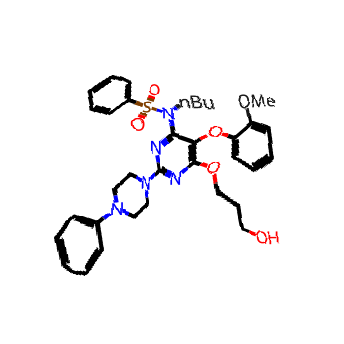 CCCCN(c1nc(N2CCN(c3ccccc3)CC2)nc(OCCCO)c1Oc1ccccc1OC)S(=O)(=O)c1ccccc1